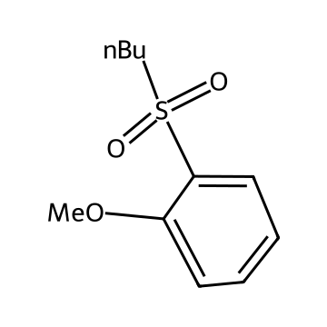 CCCCS(=O)(=O)c1ccccc1OC